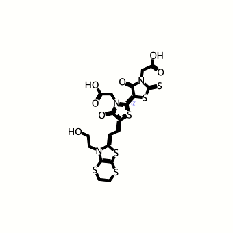 O=C(O)CN1C(=O)/C(=c2/sc(=CC=C3SC4=C(SCCS4)N3CCO)c(=O)n2CC(=O)O)SC1=S